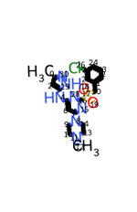 Cc1cc(Nc2cc(N3CCN(C)CC3)nc(S(=O)(=O)Cc3cccc(Cl)c3)n2)[nH]n1